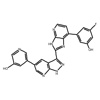 Oc1cncc(-c2cnc3[nH]nc(-c4nc5c(-c6cc(O)cc(F)c6)ccnc5[nH]4)c3c2)c1